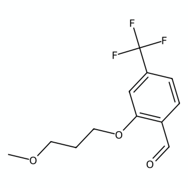 COCCCOc1cc(C(F)(F)F)ccc1C=O